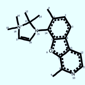 Cc1ccc2c(oc3c(C)nccc32)c1N1C=C[N+](C)(C)C1(C)C